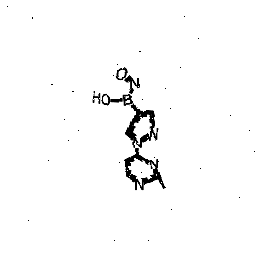 Cc1nccc(-n2cc(B(O)N=O)cn2)n1